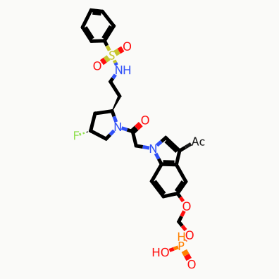 CC(=O)c1cn(CC(=O)N2C[C@H](F)C[C@H]2CCNS(=O)(=O)c2ccccc2)c2ccc(OCO[PH](=O)O)cc12